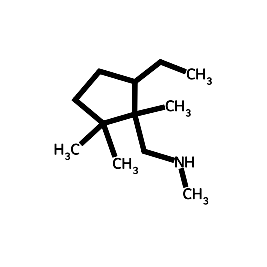 CCC1CCC(C)(C)C1(C)CNC